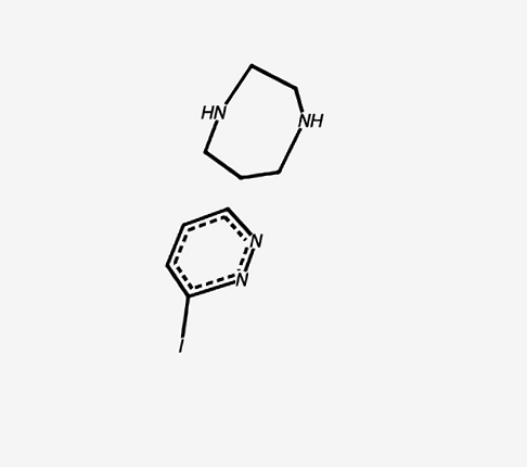 C1CNCCNC1.Ic1cccnn1